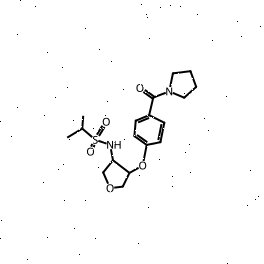 CC(C)S(=O)(=O)NC1COCC1Oc1ccc(C(=O)N2CCCC2)cc1